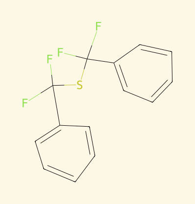 FC(F)(SC(F)(F)c1ccccc1)c1ccccc1